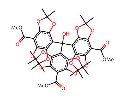 COC(=O)c1c2c(c(C(O)(c3c4c(c(C(=O)OC)c5c3OC(C)(C)O5)OC(C)(C)O4)c3c4c(c(C(=O)OC)c5c3OC(C)(C)O5)OC(C)(C)O4)c3c1OC(C)(C)O3)OC(C)(C)O2